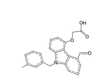 Cc1cccc(Cn2c3cccc(C=O)c3c3c(OCC(=O)O)cccc32)c1